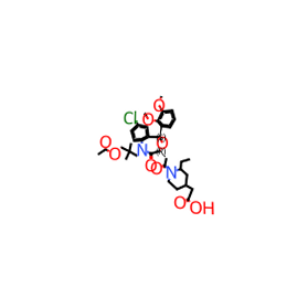 CCC1CC(CC(=O)O)CCN1C(=O)C[C@H]1O[C@H](c2cccc(OC)c2OC)c2cc(Cl)ccc2N(CC(C)(C)COC(C)=O)C1=O